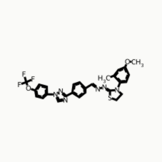 COc1ccc(N2CCS/C2=N\N=C\c2ccc(-c3ncn(-c4ccc(OC(F)(F)F)cc4)n3)cc2)c(C)c1